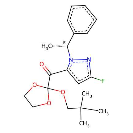 C[C@H](c1ccccc1)n1nc(F)cc1C(=O)C1(OCC(C)(C)C)OCCO1